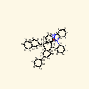 CCc1nc2ccccc2n1-c1ccccc1-c1c2ccccc2c(-c2ccc3ccccc3c2)c2cc(-c3ccccc3)ccc12